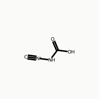 [C-]#[N+]NC(=O)O